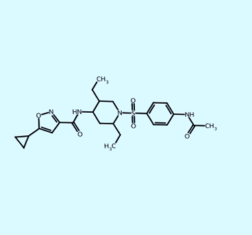 CCC1CN(S(=O)(=O)c2ccc(NC(C)=O)cc2)C(CC)CC1NC(=O)c1cc(C2CC2)on1